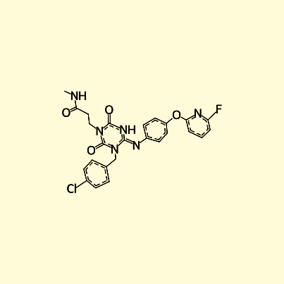 CNC(=O)CCn1c(=O)[nH]/c(=N\c2ccc(Oc3cccc(F)n3)cc2)n(Cc2ccc(Cl)cc2)c1=O